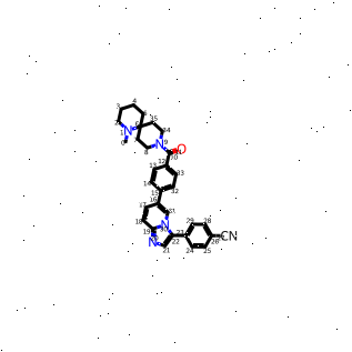 CN1CCCCC12CCN(C(=O)c1ccc(-c3ccc4ncc(-c5ccc(C#N)cc5)n4c3)cc1)CC2